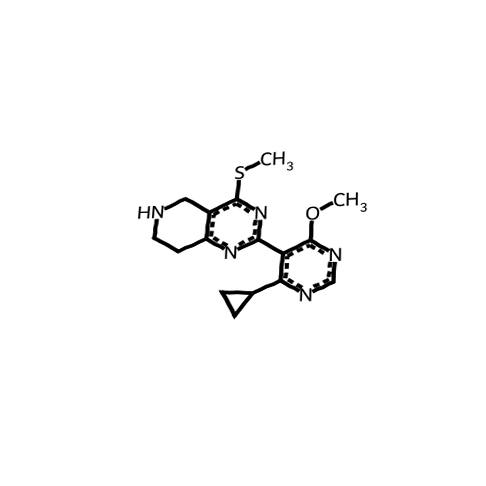 COc1ncnc(C2CC2)c1-c1nc2c(c(SC)n1)CNCC2